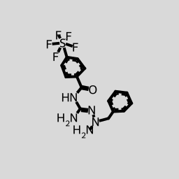 N/C(=N\N(N)Cc1ccccc1)NC(=O)c1ccc(S(F)(F)(F)(F)F)cc1